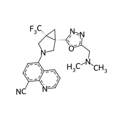 CN(C)Cc1nnc([C@]23CN(c4ccc(C#N)c5ncccc45)C[C@@]2(C(F)(F)F)C3)o1